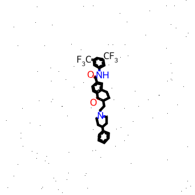 O=C(Nc1cc(C(F)(F)F)cc(C(F)(F)F)c1)c1ccc2c(c1)CCC(CCN1CCC(c3ccccc3)CC1)C2=O